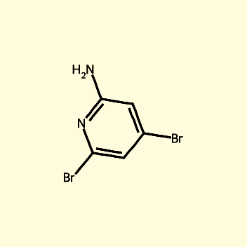 Nc1cc(Br)cc(Br)n1